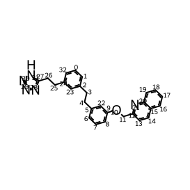 c1cc(CCc2cccc(OCc3ccc4ccccc4n3)c2)cc(CCc2nnn[nH]2)c1